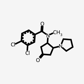 CN(C(=O)c1ccc(Cl)c(Cl)c1)C1CC(=O)CC1N1CCCC1